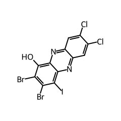 Oc1c(Br)c(Br)c(I)c2nc3cc(Cl)c(Cl)cc3nc12